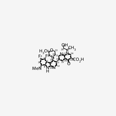 CNc1cc(F)c(F)c2c1[nH]c1ncc(-c3cnc4c(c3)c(=O)c(C(=O)O)cn4[C@@H](C)CO)c(N3CCO[C@@H](C)C3)c12